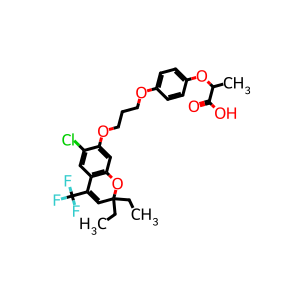 CCC1(CC)C=C(C(F)(F)F)c2cc(Cl)c(OCCCOc3ccc(OC(C)C(=O)O)cc3)cc2O1